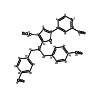 CCOC(=O)c1nc(-c2ccnc(OC)c2)oc1N(Cc1ccc(OC)cc1)Cc1ccc(OC)cc1